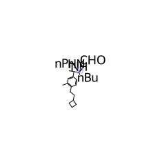 CCCC/C(=C/NC=O)C(C)(NCCC)c1ccc(CCC2CCC2)c(C)c1